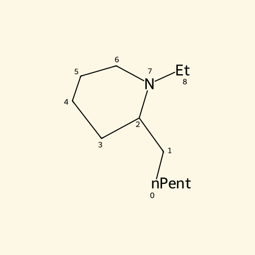 CCCCCCC1CCCCN1CC